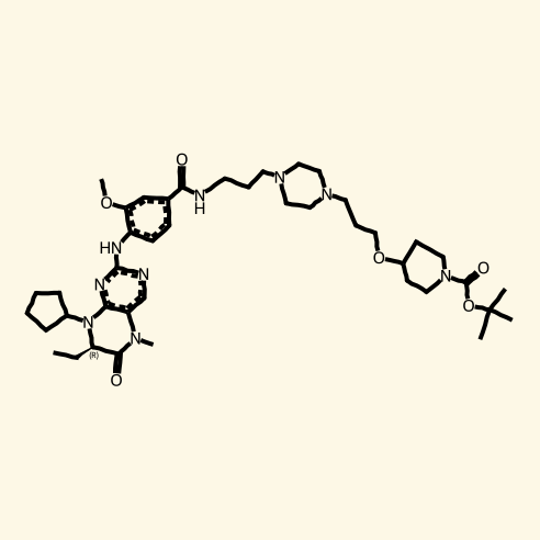 CC[C@@H]1C(=O)N(C)c2cnc(Nc3ccc(C(=O)NCCCN4CCN(CCCOC5CCN(C(=O)OC(C)(C)C)CC5)CC4)cc3OC)nc2N1C1CCCC1